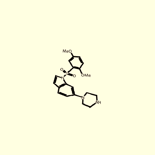 COc1ccc(OC)c(S(=O)(=O)n2ccc3ccc(N4CCNCC4)cc32)c1